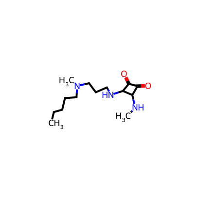 CCCCCN(C)CCCNC1C(=O)C(=O)C1NC